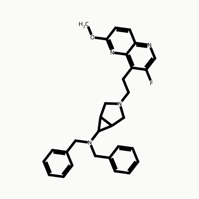 COc1ccc2ncc(F)c(CCN3CC4C(C3)C4N(Cc3ccccc3)Cc3ccccc3)c2n1